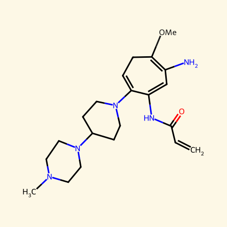 C=CC(=O)NC1=CC(N)=C(OC)CC=C1N1CCC(N2CCN(C)CC2)CC1